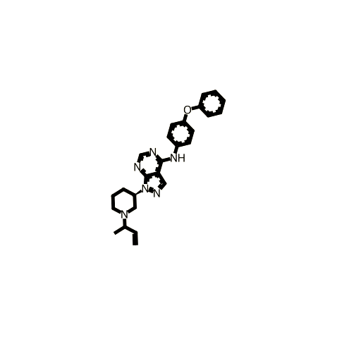 C=CC(C)N1CCC[C@@H](n2ncc3c(Nc4ccc(Oc5ccccc5)cc4)ncnc32)C1